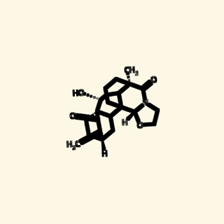 C=C1C(=O)[C@]23CC[C@H]1CC2C12CCC[C@@](C)(C(=O)N4CCO[C@@H]41)C2C[C@H]3O